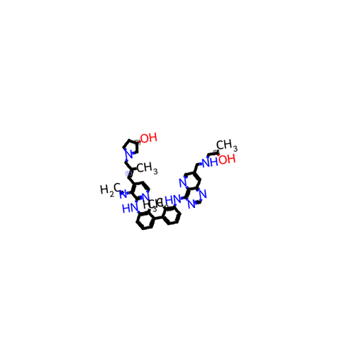 C=Nc1c(/C=C(\C)CN2CC[C@@H](O)C2)ccnc1Nc1cccc(-c2cccc(Nc3ncnc4cc(CNC[C@@H](C)O)cnc34)c2C)c1C